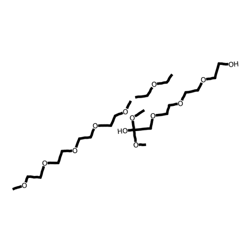 CCOCC.COC(O)(COCCOCCOCCO)OC.COCCOCCOCCOCCOC